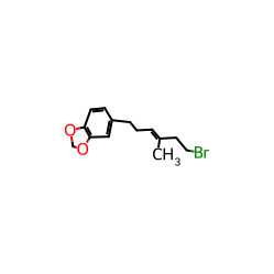 C/C(=C\CCc1ccc2c(c1)OCO2)CCBr